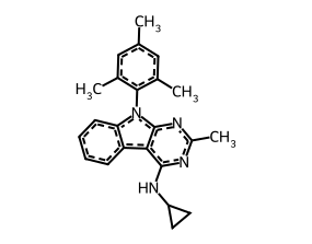 Cc1cc(C)c(-n2c3ccccc3c3c(NC4CC4)nc(C)nc32)c(C)c1